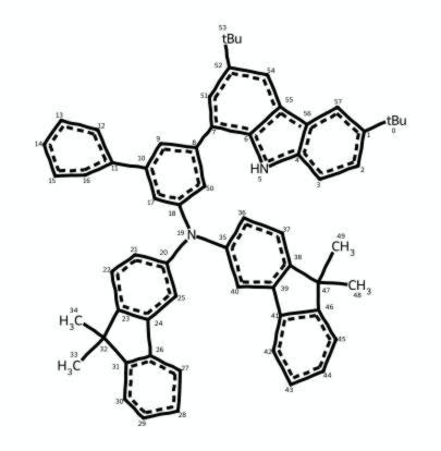 CC(C)(C)c1ccc2[nH]c3c(-c4cc(-c5ccccc5)cc(N(c5ccc6c(c5)-c5ccccc5C6(C)C)c5ccc6c(c5)-c5ccccc5C6(C)C)c4)cc(C(C)(C)C)cc3c2c1